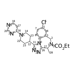 CCOC(=O)N1Cc2cc(Cl)ccc2-n2c(C3CCN(c4ccncn4)CC3)nnc2C1C